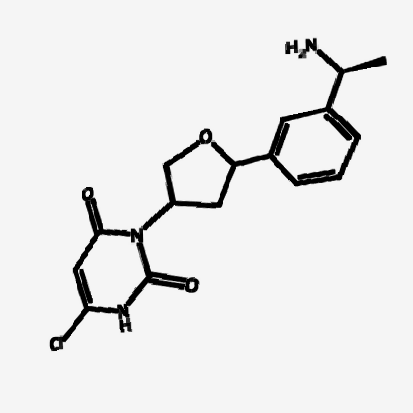 C[C@H](N)c1cccc(C2CC(n3c(=O)cc(Cl)[nH]c3=O)CO2)c1